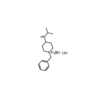 CC(C)NC1CCN(Cc2ccccc2)CC1.Cl.Cl.O